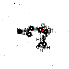 Cc1cc(CNC[C@H](O)c2ccc(O)c3[nH]c(=O)ccc23)cc(C)c1OC(C)c1cc(COc2cccc([C@@H](NC(=O)O[C@H]3CN4CCC3CC4)c3ccccc3)c2)ccc1C(=O)O